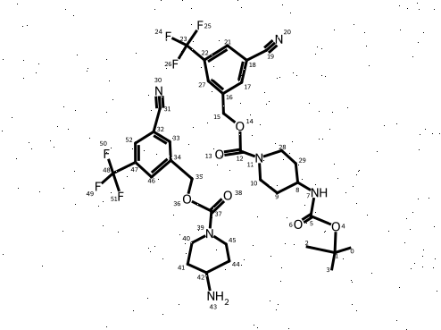 CC(C)(C)OC(=O)NC1CCN(C(=O)OCc2cc(C#N)cc(C(F)(F)F)c2)CC1.N#Cc1cc(COC(=O)N2CCC(N)CC2)cc(C(F)(F)F)c1